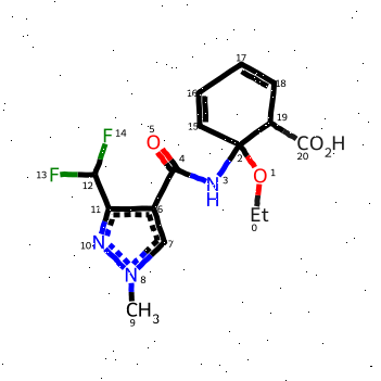 CCOC1(NC(=O)c2cn(C)nc2C(F)F)C=CC=CC1C(=O)O